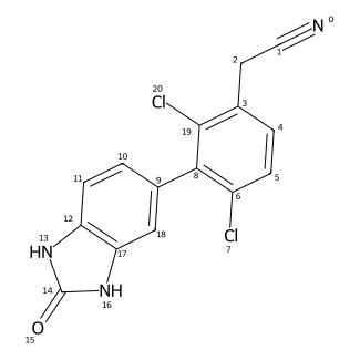 N#CCc1ccc(Cl)c(-c2ccc3[nH]c(=O)[nH]c3c2)c1Cl